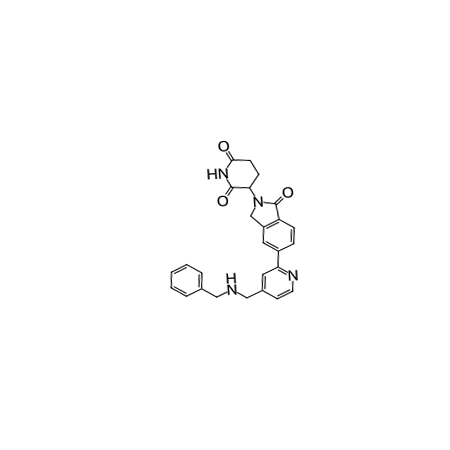 O=C1CCC(N2Cc3cc(-c4cc(CNCc5ccccc5)ccn4)ccc3C2=O)C(=O)N1